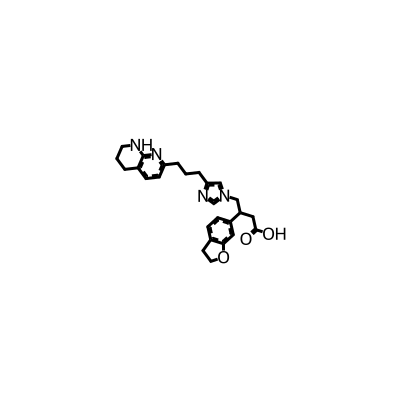 O=C(O)CC(Cn1cnc(CCCc2ccc3c(n2)NCCC3)c1)c1ccc2c(c1)OCC2